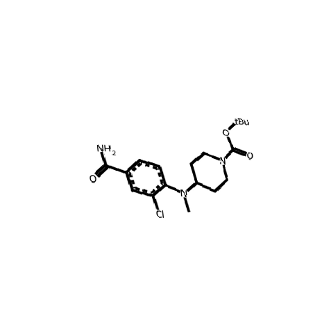 CN(c1ccc(C(N)=O)cc1Cl)C1CCN(C(=O)OC(C)(C)C)CC1